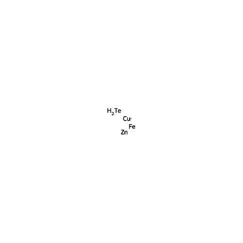 [Cu].[Fe].[TeH2].[Zn]